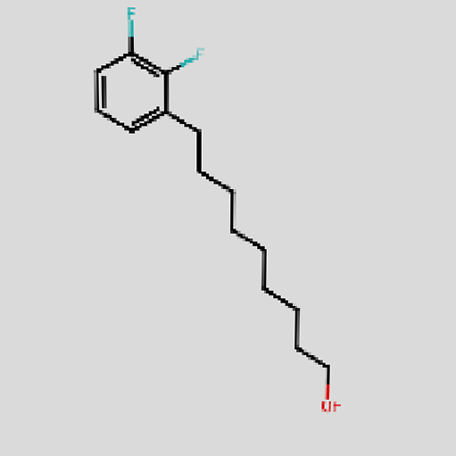 OCCCCCCCCCc1cccc(F)c1F